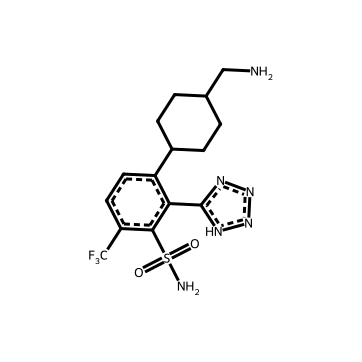 NCC1CCC(c2ccc(C(F)(F)F)c(S(N)(=O)=O)c2-c2nnn[nH]2)CC1